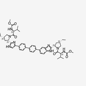 CC[C@H]1C[C@@H](c2nc(-c3ccc(-c4ccc(-c5ccc6[nH]c([C@@H]7C[C@H](CC)CN7C(=O)[C@@H](NC(=O)OC)C(C)C)nc6c5)cc4)cc3)c[nH]2)N(C(=O)[C@@H](NC(=O)OC)C(C)C)C1